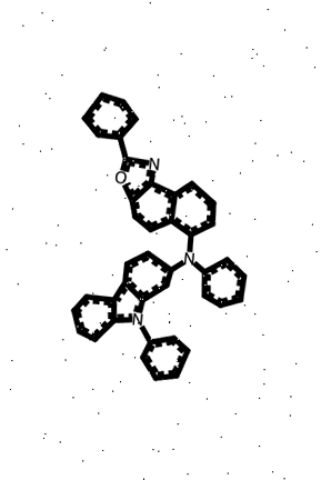 c1ccc(-c2nc3c(ccc4c(N(c5ccccc5)c5ccc6c7ccccc7n(-c7ccccc7)c6c5)cccc43)o2)cc1